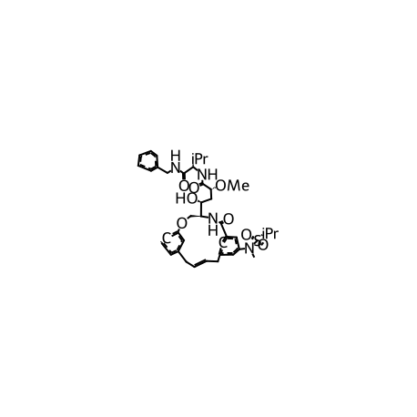 CO[C@H](C[C@H](O)[C@@H]1COc2cccc(c2)C/C=C/Cc2cc(cc(N(C)S(=O)(=O)C(C)C)c2)C(=O)N1)C(=O)N[C@H](C(=O)NCc1ccccc1)C(C)C